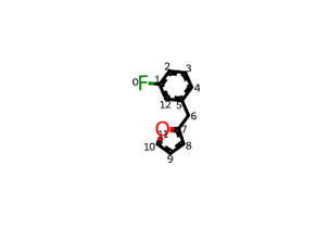 Fc1cccc(Cc2ccco2)c1